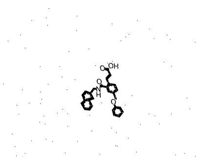 O=C(O)C=Cc1ccc(COc2ccccc2)cc1C(=O)NCc1ccc2ccccc2c1